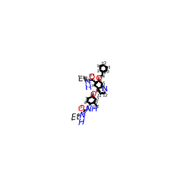 CCNC(=O)Nc1ccc(Oc2ccnc3cc(OCc4ccccc4)c(C(=O)NCC)cc23)cc1C